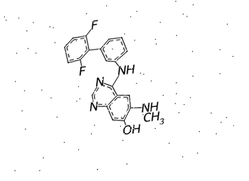 CNc1cc2c(Nc3cccc(-c4c(F)cccc4F)c3)ncnc2cc1O